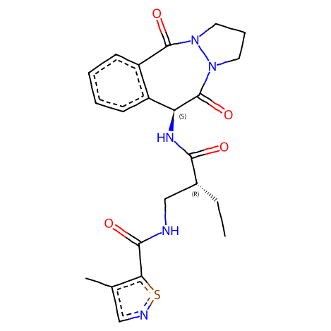 CC[C@H](CNC(=O)c1sncc1C)C(=O)N[C@@H]1C(=O)N2CCCN2C(=O)c2ccccc21